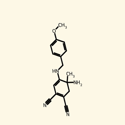 COc1ccc(CNC2=CC(C#N)=C(C#N)CC2(C)N)cc1